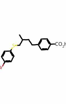 CC(CCc1ccc(C(=O)O)cc1)CSc1ccc(Br)cc1